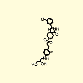 Cc1cc(NC[C@H](O)CO)ccc1CCS(=O)(=O)N1CCC2(CC1)N=C(c1cccc(Cl)c1)NC2=O